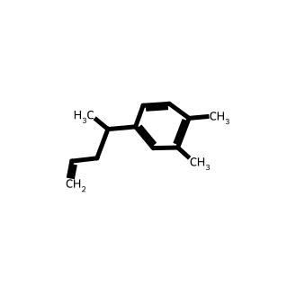 C=CC[C](C)c1ccc(C)c(C)c1